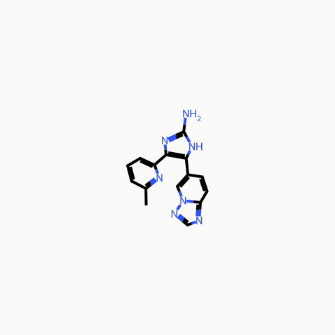 Cc1cccc(-c2nc(N)[nH]c2-c2ccc3ncnn3c2)n1